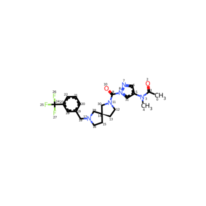 CC(=O)N(C)c1cnn(C(=O)N2CC[C@]3(CCN(Cc4cccc(C(F)(F)F)c4)C3)C2)c1